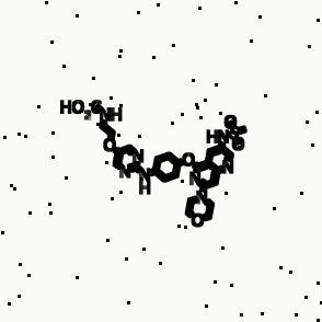 CS(=O)(=O)Nc1cnc2cc(N3CCOCC3)nc(OC3CCC(Nc4ncc(OCCNC(=O)O)cn4)CC3)c2c1